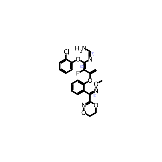 C=C(Oc1ccccc1/C(=N\OC)C1=NOCCO1)/C(F)=C(\N=C/N)Oc1ccccc1Cl